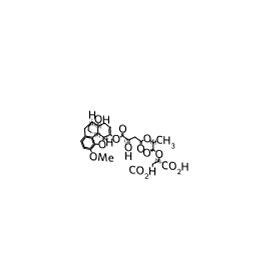 COc1ccc2c3c1O[C@@H]1C(OC(=O)[C@@H](O)CC(=O)O[C@@H](C)C(=O)O[C@@H](CC(=O)O)C(=O)O)=CC[C@]4(O)[C@@H](CCC[C@@]314)C2